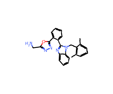 Cc1cccc(C)c1Cn1c(-c2ccccc2-c2nnc(CN)o2)nc2ccccc21